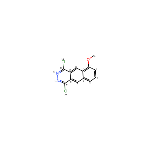 COc1cccc2cc3c(Cl)nnc(Cl)c3cc12